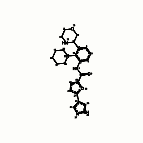 O=C(Nc1cccc(C2COCCN2)c1N1CCCCC1)c1ccc(-c2cn[nH]c2)o1